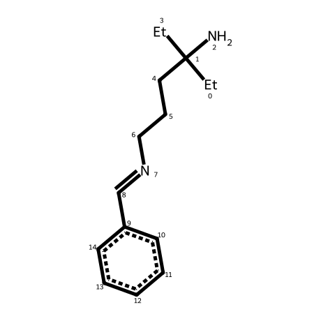 CCC(N)(CC)CCCN=Cc1ccccc1